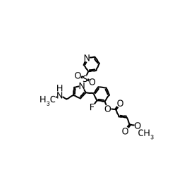 CNCc1cc(-c2cccc(OC(=O)/C=C/C(=O)OC)c2F)n(S(=O)(=O)c2cccnc2)c1